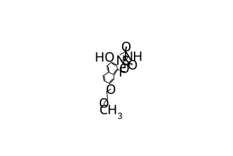 COCCOc1ccc2cc(O)c(N3CC(=O)NS3(=O)=O)c(F)c2c1